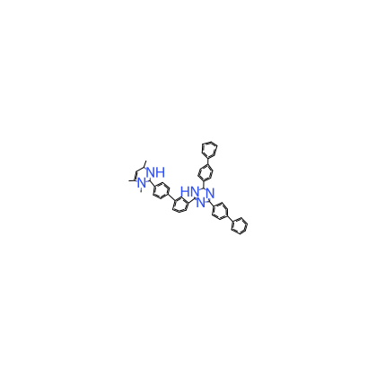 CC1=CC(C)NC(c2ccc(-c3cccc(C4=NC(c5ccc(-c6ccccc6)cc5)=NC(c5ccc(-c6ccccc6)cc5)N4)c3)cc2)N1C